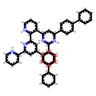 c1ccc(-c2ccc(-c3cc(-c4cccnc4-c4cc(-c5ccccc5)cc(-c5ccccn5)n4)nc(-c4ccc(-c5ccccc5)cc4)n3)cc2)cc1